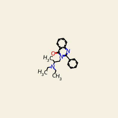 CCN(CC)C(C)Cn1c(-c2ccccc2)nc2ccccc2c1=O